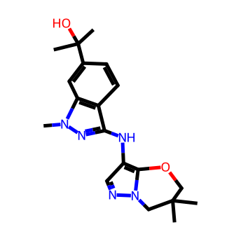 Cn1nc(Nc2cnn3c2OCC(C)(C)C3)c2ccc(C(C)(C)O)cc21